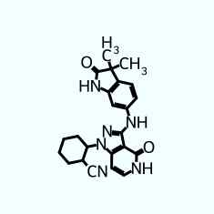 CC1(C)C(=O)Nc2cc(Nc3nn(C4CCCCC4C#N)c4cc[nH]c(=O)c34)ccc21